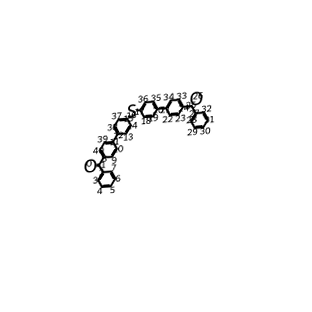 O=C(c1ccccc1)c1ccc(-c2ccc(Sc3ccc(-c4ccc(C(=O)c5ccccc5)cc4)cc3)cc2)cc1